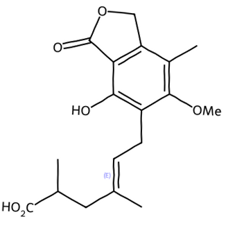 COc1c(C)c2c(c(O)c1C/C=C(\C)CC(C)C(=O)O)C(=O)OC2